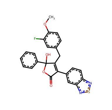 COc1ccc(CC2=C(c3ccc4nsnc4c3)C(=O)OC2(O)c2ccccc2)cc1F